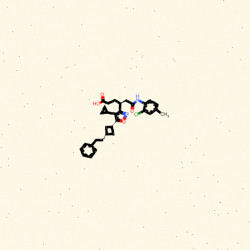 Cc1ccc(NC(=O)C[C@H](CCC(=O)O)c2noc([C@H]3C[C@@H](CCc4ccccc4)C3)c2C2CC2)c(Cl)c1